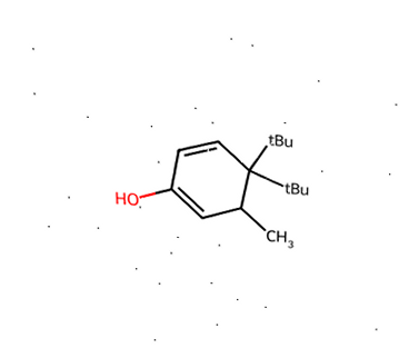 CC1C=C(O)C=CC1(C(C)(C)C)C(C)(C)C